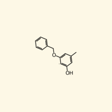 Cc1cc(O)[c]c(OCc2ccccc2)c1